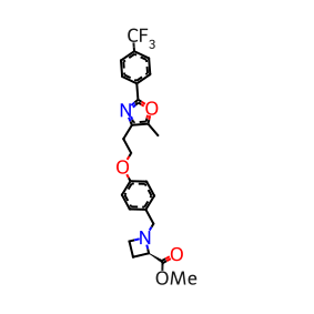 COC(=O)[C@H]1CCN1Cc1ccc(OCCc2nc(-c3ccc(C(F)(F)F)cc3)oc2C)cc1